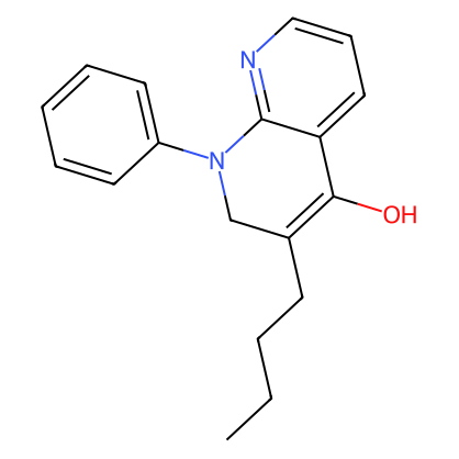 CCCCC1=C(O)c2cccnc2N(c2ccccc2)C1